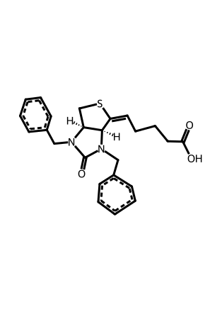 O=C(O)CCC/C=C1/SC[C@H]2[C@@H]1N(Cc1ccccc1)C(=O)N2Cc1ccccc1